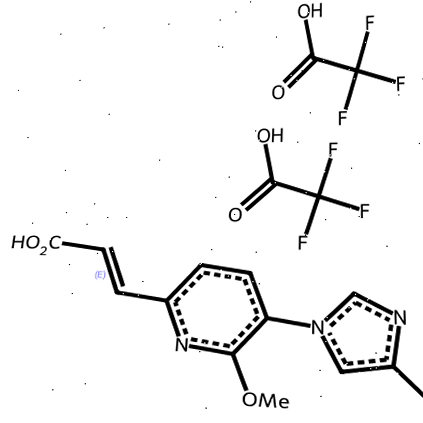 COc1nc(/C=C/C(=O)O)ccc1-n1cnc(C)c1.O=C(O)C(F)(F)F.O=C(O)C(F)(F)F